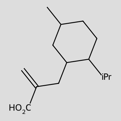 C=C(CC1CC(C)CCC1C(C)C)C(=O)O